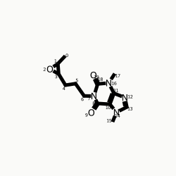 CC1OC1CCCn1c(=O)c2c(ncn2C)n(C)c1=O